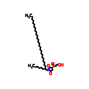 CCCCCCCCCCCCCCCCCCCCCCCCCCCCC(CCCCCC)CN1C(=O)CC([S+]([O-])CCO)C1=O